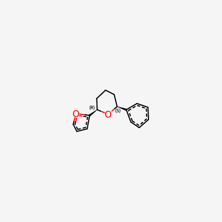 c1ccc([C@@H]2CCC[C@H](c3ccco3)O2)cc1